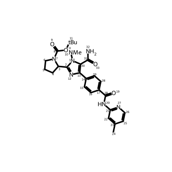 CNn1c(C2CCCN2C(=O)OC(C)(C)C)nc(-c2ccc(C(=O)Nc3cc(C)ccn3)cc2)c1C(N)=O